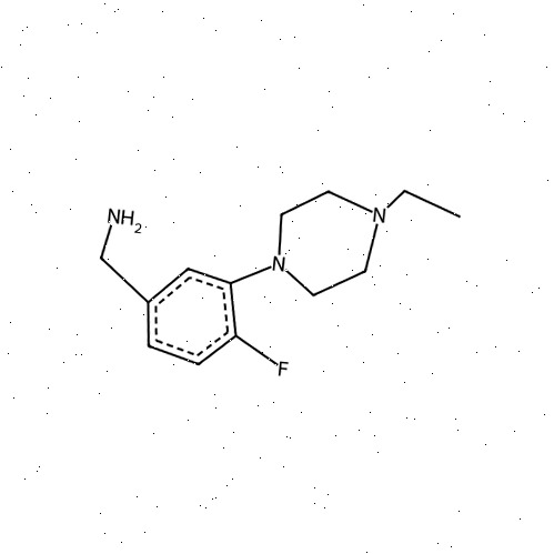 CCN1CCN(c2cc(CN)ccc2F)CC1